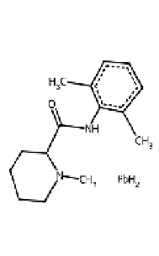 Cc1cccc(C)c1NC(=O)C1CCCCN1C.[PbH2]